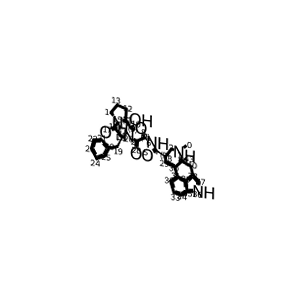 CN1C[C@H](C(=O)N[C@@H]2O[C@@]3(O)[C@@H]4CCCN4C(=O)[C@H](Cc4ccccc4)N3C2=O)C=C2c3cccc4[nH]cc(c34)C[C@H]21